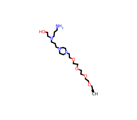 C#CCOCCOCCOCCOCCN1CCN(CCCN(CCO)CCCN)CC1